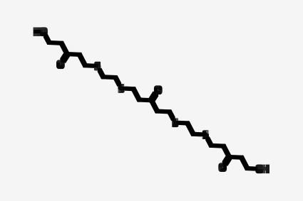 O=C(CCO)CCSCCSCCC(=O)CCSCCSCCC(=O)CCO